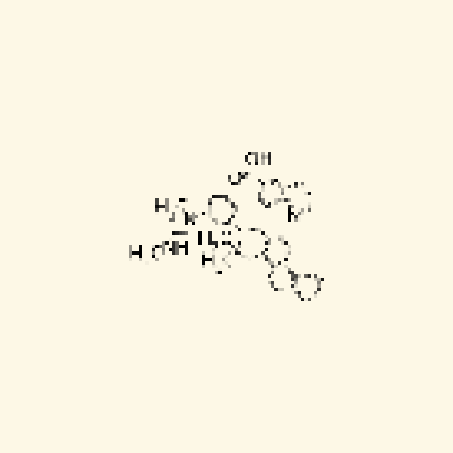 CNCCN(C)c1cccc(C2Cc3ccc4c(ccc5ccccc54)c3CC2(C)C)c1.O=C(O)c1ccc2ncccc2c1